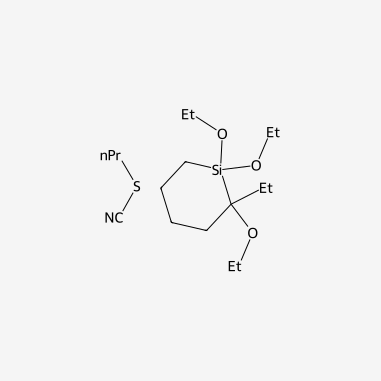 CCCSC#N.CCOC1(CC)CCCC[Si]1(OCC)OCC